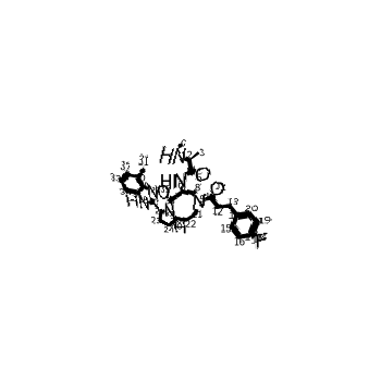 CN[C@@H](C)C(=O)N[C@H]1CN(C(=O)CCc2ccc(F)cc2)CC[C@H]2CC[C@@H](c3nc4c(C)cccc4[nH]3)N2C1=O